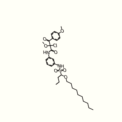 CCCCCCCCCCOC(CCC)S(=O)(=O)Nc1cccc(NC(=O)C(Cl)(OC)C(=O)c2ccc(OC)cc2)c1